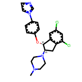 CN1CCN([C@@H]2Cc3c(Cl)cc(Cl)cc3[C@H]2Oc2ccc(-n3ccnc3)cc2)CC1